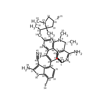 C[C@H](c1nccnc1N)N(C)c1nc(O[C@@H](C)[C@@]2(C)C[C@@H](F)CN2C)nc2c(F)c(-c3ccc(F)c4sc(N)c(C#N)c34)c(Cl)cc12